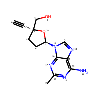 C#C[C@@]1(CO)CC[C@H](n2cnc3c(N)nc(C)nc32)O1